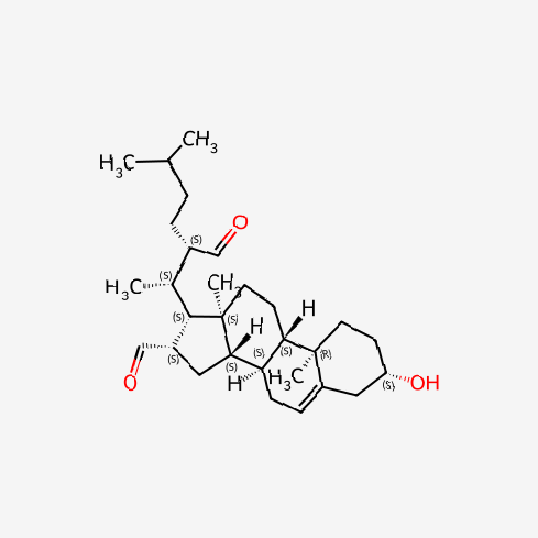 CC(C)CC[C@H](C=O)[C@@H](C)[C@H]1[C@@H](C=O)C[C@H]2[C@@H]3CC=C4C[C@@H](O)CC[C@]4(C)[C@H]3CC[C@]12C